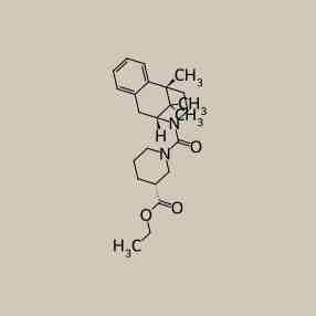 CCOC(=O)[C@@H]1CCCN(C(=O)N2CC[C@@]3(C)c4ccccc4C[C@@H]2C3(C)C)C1